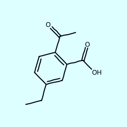 CCc1ccc(C(C)=O)c(C(=O)O)c1